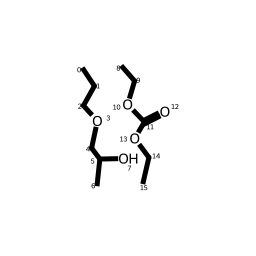 CCCOCC(C)O.CCOC(=O)OCC